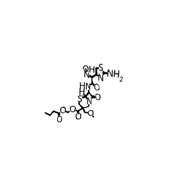 CCCC(=O)OCOC(=O)C1(COC)CS[C@@H]2C(NC(=O)C(=NO)c3csc(N)n3)C(=O)N2C1